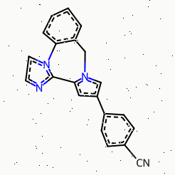 N#Cc1ccc(-c2cc3n(c2)Cc2ccccc2-n2ccnc2-3)cc1